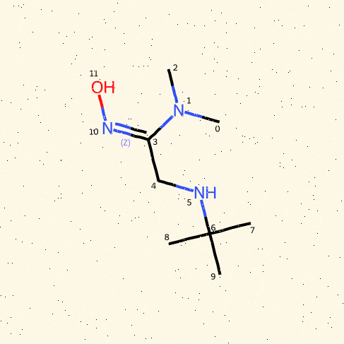 CN(C)/C(CNC(C)(C)C)=N\O